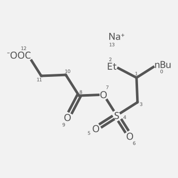 CCCCC(CC)CS(=O)(=O)OC(=O)CCC(=O)[O-].[Na+]